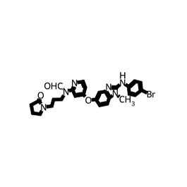 Cn1c(Nc2ccc(Br)cc2)nc2cc(Oc3ccnc(N(C=O)CCCN4CCCC4=O)c3)ccc21